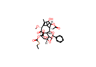 CCSC(=O)O[C@H]1C[C@H]2OC[C@@]2(OC(C)=O)[C@H]2[C@H](OC(=O)c3ccccc3)[C@]34CC(=O)O[C@H]3[C@H](O)C(C)=C([C@@H](OC)C(=O)[C@]12C)C4(C)C